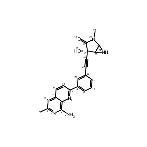 Cc1nc(N)c2nc(-c3cccc(C#C[C@@]4(O)C(=O)N(C)C5NC54)c3)ccc2n1